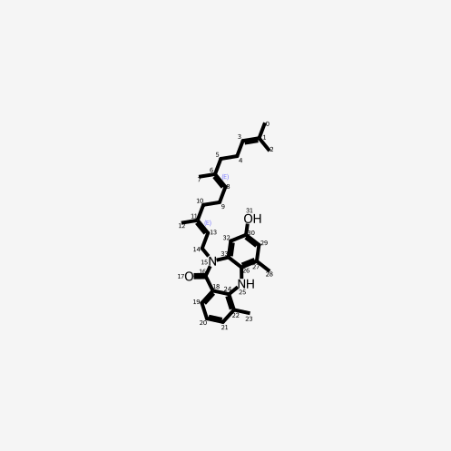 CC(C)=CCC/C(C)=C/CC/C(C)=C/CN1C(=O)c2cccc(C)c2Nc2c(C)cc(O)cc21